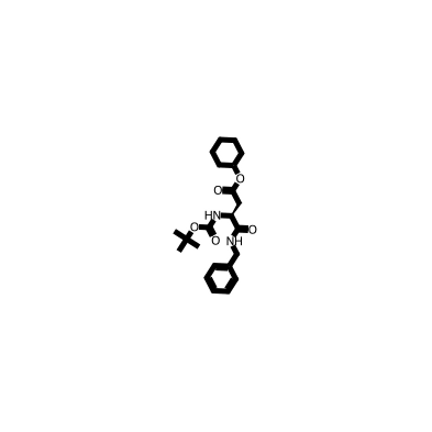 CC(C)(C)OC(=O)N[C@@H](CC(=O)OC1CCCCC1)C(=O)NCc1ccccc1